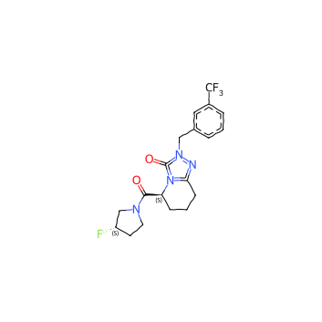 O=C([C@@H]1CCCc2nn(Cc3cccc(C(F)(F)F)c3)c(=O)n21)N1CC[C@H](F)C1